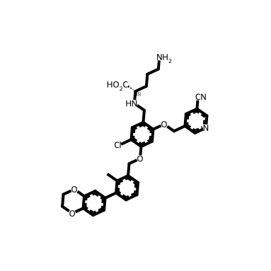 Cc1c(COc2cc(OCc3cncc(C#N)c3)c(CN[C@@H](CCCN)C(=O)O)cc2Cl)cccc1-c1ccc2c(c1)OCCO2